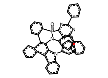 O=P1(c2nc(-c3ccccc3)nc(-c3ccccc3)n2)c2ccccc2-c2c(c3c(c4ccccc24)c2ccccc2n3-c2ccccc2)N1c1ccccc1